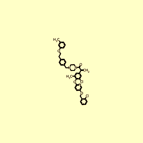 C=C(C(=O)N1CCN(Cc2ccc(CCOc3cccc(C)c3)cc2)CC1)c1cc(C)c(Oc2ccc(OCc3ccccc3Cl)cn2)c(Cl)c1